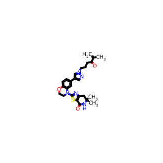 C=C(C)C(=O)CCCn1cc(-c2ccc3c(c2)N(c2nc4c(s2)C(=O)NC(C)(C)C4)CCO3)cn1